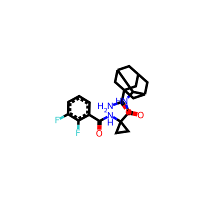 NC(=O)C12CC3CC(C1)C(NC(=O)C1(NC(=O)c4cccc(F)c4F)CC1)C(C3)C2